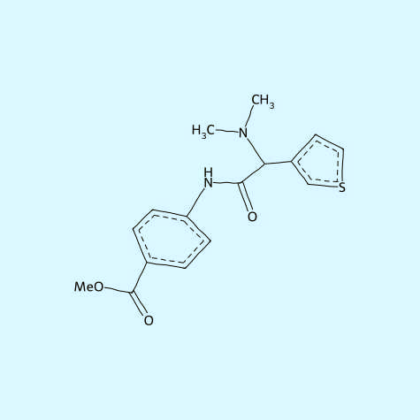 COC(=O)c1ccc(NC(=O)C(c2ccsc2)N(C)C)cc1